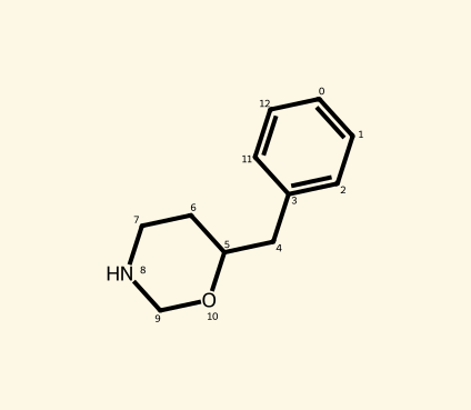 c1ccc(CC2CCNCO2)cc1